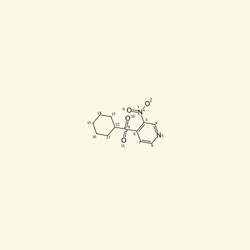 O=[N+]([O-])c1cnccc1S(=O)(=O)C1CCCCC1